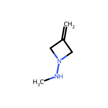 C=C1CN(NC)C1